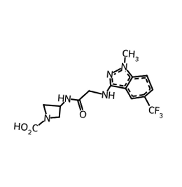 Cn1nc(NCC(=O)NC2CN(C(=O)O)C2)c2cc(C(F)(F)F)ccc21